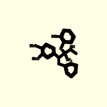 COc1ccc(C(Cc2ccccc2)C(N)(Oc2ccccc2O)C(C)O)cc1OC